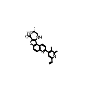 C=Cc1cc(-c2ccc3c(ccc4sc5c(c43)NC[C@@H](C)NC5=O)n2)c(C)c(C)n1